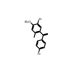 C=C(c1ccc(C(C)=O)cc1)c1cc(C(C)C)c(OCC(C)C)cc1C